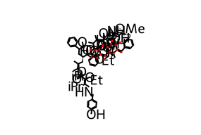 C=C(C(C)C/C1=N/CCOC(CC(=O)[C@@H](C/C(C)=C(/CC(C)C)OC(=O)/C(OCC)=C(/CNCc2ccc(O)cc2)C(C)C)CC2COc3ccccc32)C(=O)C[C@H]1CC(C)C(O)O)C(C)[C@@H](CC(C)C(O)O)C(=C)CC(CO)C(C)C(C)C(Cc1ccccc1)C(=O)CC(CC)C(=O)C[C@@H](Cc1ccccc1)C(=O)C[C@H](C(N)O)[C@@H](C)OC